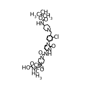 CC(C)(C)OC(=O)NC1CCN(Cc2ccc(-n3ccc(NC(=O)N4CCN(C(=O)C(C)(C)NC(=O)O)CC4)nc3=O)cc2Cl)CC1